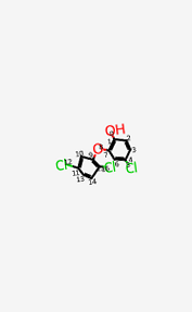 Oc1ccc(Cl)cc1Oc1cc(Cl)ccc1Cl